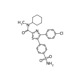 CN(C(=O)c1nc(-c2ccc(Cl)cc2)c(-c2ccc(S(N)(=O)=O)cc2)s1)C1CCCCC1